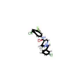 O=C(Nc1cc(F)cc(Cl)c1)C1CCN(Cc2cccc(Cl)c2)CC1